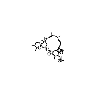 CC1=C[C@H]2C(=O)O[C@H]3C[C@@H](C/C=C(\C)C[C@@H](C)/C=C/C=C4/CO[C@H](/C1=N/O)[C@]42O)O[C@]1(CC[C@H](C)C(C)O1)C3